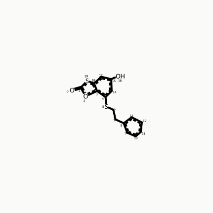 O=c1oc2c(SCCc3ccccc3)cc(O)cc2s1